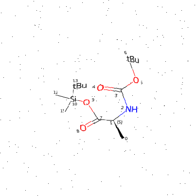 C[C@H](NC(=O)OC(C)(C)C)C(=O)O[Si](C)(C)C(C)(C)C